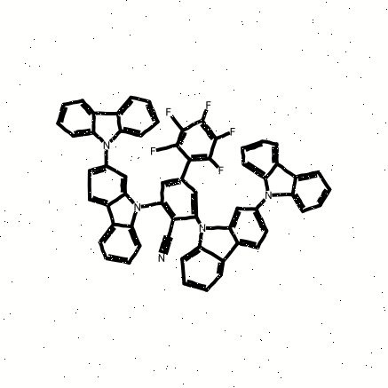 N#Cc1c(-n2c3ccccc3c3ccc(-n4c5ccccc5c5ccccc54)cc32)cc(-c2c(F)c(F)c(F)c(F)c2F)cc1-n1c2ccccc2c2ccc(-n3c4ccccc4c4ccccc43)cc21